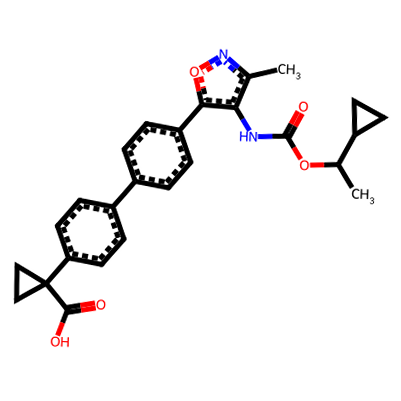 Cc1noc(-c2ccc(-c3ccc(C4(C(=O)O)CC4)cc3)cc2)c1NC(=O)OC(C)C1CC1